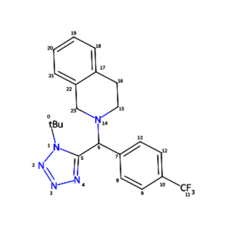 CC(C)(C)n1nnnc1C(c1ccc(C(F)(F)F)cc1)N1CCc2ccccc2C1